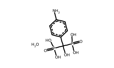 Nc1ccc(C(O)(P(=O)(O)O)P(=O)(O)O)cc1.O